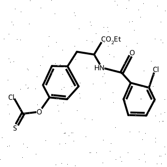 CCOC(=O)C(Cc1ccc(OC(=S)Cl)cc1)NC(=O)c1ccccc1Cl